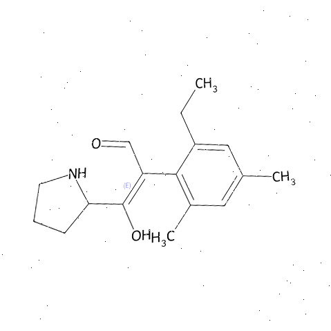 CCc1cc(C)cc(C)c1/C(C=O)=C(\O)C1CCCN1